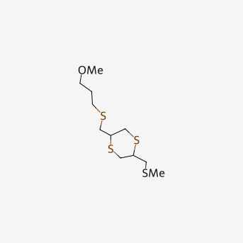 COCCCSCC1CSC(CSC)CS1